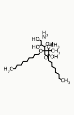 CCCCCCCCCCOC(CCCCCCCCCC)(C(O)C(O)CO)C(C)(OC)C(=O)O.N